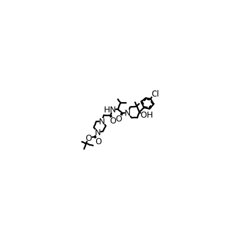 CC(C)C(NC(=O)CN1CCN(C(=O)OC(C)(C)C)CC1)C(=O)N1CCC(O)(c2ccc(Cl)cc2)C(C)(C)C1